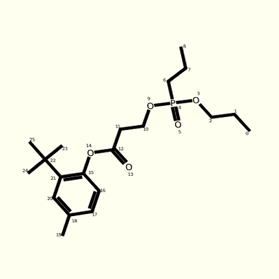 CCCOP(=O)(CCC)OCCC(=O)Oc1ccc(C)cc1C(C)(C)C